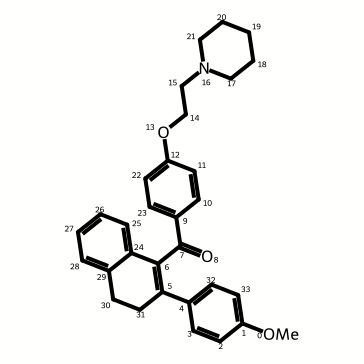 COc1ccc(C2=C(C(=O)c3ccc(OCCN4CCCCC4)cc3)c3ccccc3CC2)cc1